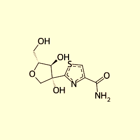 NC(=O)c1csc([C@@]2(O)CO[C@H](CO)[C@H]2O)n1